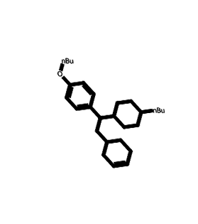 CCCCOc1ccc(C(CC2CC=CCC2)C2CCC(CCCC)CC2)cc1